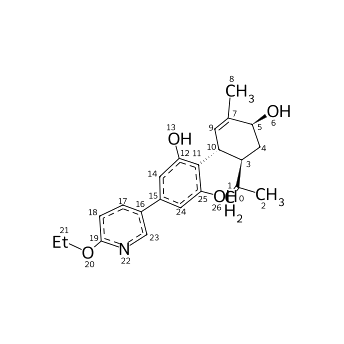 C=C(C)[C@@H]1C[C@H](O)C(C)=C[C@H]1c1c(O)cc(-c2ccc(OCC)nc2)cc1O